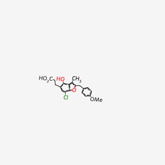 COc1ccc(Cc2oc3c(Cl)cc(CCC(=O)O)c(O)c3c2C)cc1